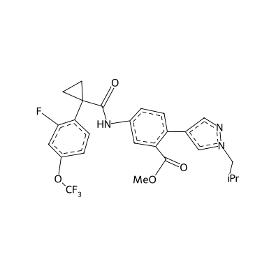 COC(=O)c1cc(NC(=O)C2(c3ccc(OC(F)(F)F)cc3F)CC2)ccc1-c1cnn(CC(C)C)c1